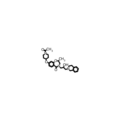 CC(=O)N1CCC(Oc2ccc3c(c2)OC(C)CN(CC(O)CN2CCc4ccccc4C2)C3=O)CC1